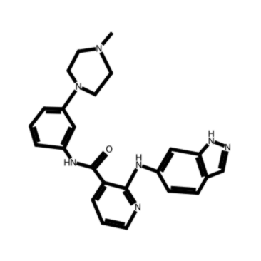 CN1CCN(c2cccc(NC(=O)c3cccnc3Nc3ccc4cn[nH]c4c3)c2)CC1